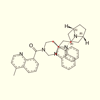 Cc1ccnc2c(C(=O)N3CCC(CCN4[C@@H]5CC[C@H]4C[C@@H](n4c(C)nc6ccccc64)C5)(c4ccccc4)CC3)cccc12